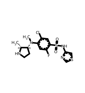 C[C@H]1NCC[C@H]1N(C)c1cc(F)c(S(=O)(=O)Nc2cscn2)cc1Cl